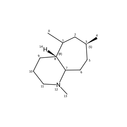 CC1C[C@@H](C)CCC2[C@@H]1CCCN2C